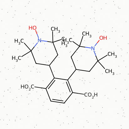 CC1(C)CC(c2c(C(=O)O)ccc(C(=O)O)c2C2CC(C)(C)N(O)C(C)(C)C2)CC(C)(C)N1O